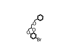 Brc1ccc2c(c1)OC(COCc1ccccc1)CO2